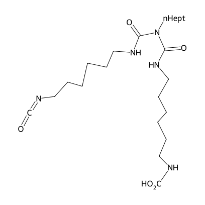 CCCCCCCN(C(=O)NCCCCCCN=C=O)C(=O)NCCCCCCNC(=O)O